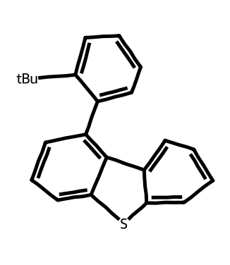 CC(C)(C)c1ccccc1-c1cccc2sc3ccccc3c12